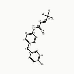 Cc1ccc([I+]c2ccc(OC(=O)C=CC(C)(C)C)cc2)cc1